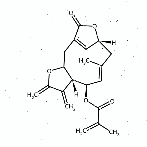 C=C(C)C(=O)O[C@@H]1/C=C(\C)C[C@@H]2C=C(CC3OC(=C)C(=C)[C@H]31)C(=O)O2